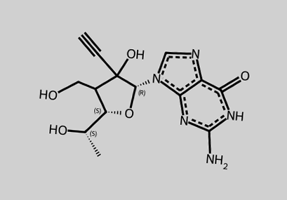 C#CC1(O)C(CO)[C@@H]([C@H](C)O)O[C@H]1n1cnc2c(=O)[nH]c(N)nc21